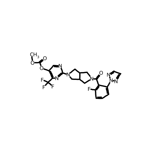 COC(=O)Oc1cnc(N2CC3CN(C(=O)c4c(F)cccc4-n4nccn4)CC3C2)nc1C(F)(F)F